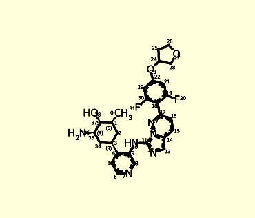 C[C@H]1C[C@@H](c2ccncc2Nc2ncc3ccc(-c4c(F)cc(OC5CCOC5)cc4F)nn23)C[C@@H](N)[C@H]1O